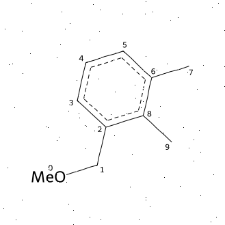 [CH2]OCc1cccc(C)c1C